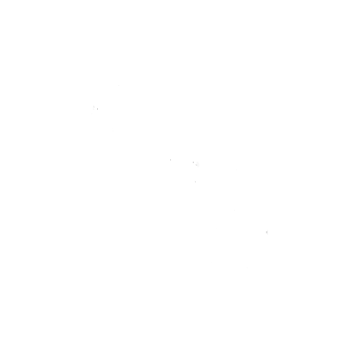 NS(=O)(=O)CCCC(=O)N[C@H]1Cc2cccc(C(O)O)c2OB1O